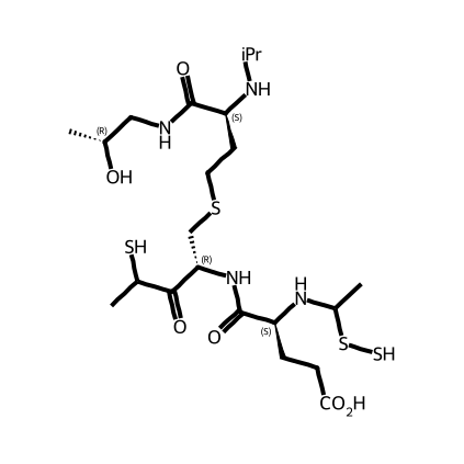 CC(C)N[C@@H](CCSC[C@H](NC(=O)[C@H](CCC(=O)O)NC(C)SS)C(=O)C(C)S)C(=O)NC[C@@H](C)O